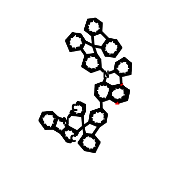 c1ccc(-c2ccccc2N(c2ccc3c(c2)C2(c4ccccc4-c4ccccc42)c2ccccc2-3)c2ccc(-c3ccc4c(c3)C3(c5ccccc5-4)c4ccccc4-n4c5ccccc5c5cccc3c54)c3ccccc23)cc1